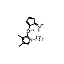 Cc1c[nH][c]([Zr+2][C]2=CC=CC2=[Si](C)C)c1C.[Cl-].[Cl-]